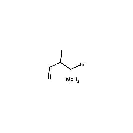 C=CC(C)CBr.[MgH2]